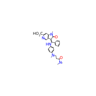 CN(C)C(=O)CCN(C)c1ccc(NC(=C2C(=O)N(C)c3cc(C(=O)O)ncc32)c2ccccc2)cc1